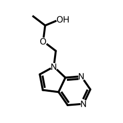 CC(O)OCn1ccc2cncnc21